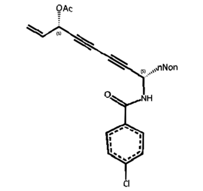 C=C[C@@H](C#CC#C[C@H](CCCCCCCCC)NC(=O)c1ccc(Cl)cc1)OC(C)=O